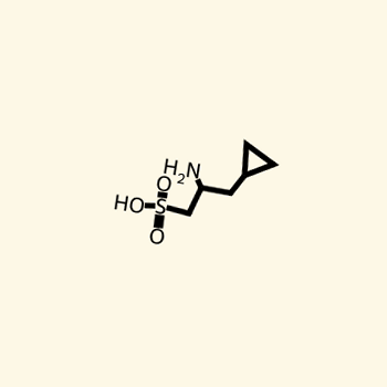 NC(CC1CC1)CS(=O)(=O)O